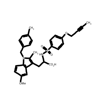 CC#CCOc1ccc(S(=O)(=O)NC(Cc2c(C)n(Cc3ccc(C)cc3)c3ccc(OC)cc23)C(=O)O)cc1